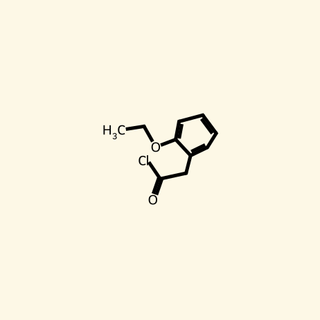 CCOc1ccccc1CC(=O)Cl